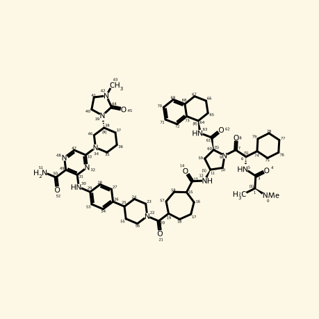 CN[C@@H](C)C(=O)N[C@H](C(=O)N1C[C@@H](NC(=O)C2CCCC(C(=O)N3CCC(c4ccc(Nc5nc(N6CCC[C@@H](N7CCN(C)C7=O)C6)cnc5C(N)=O)cc4)CC3)CC2)C[C@H]1C(=O)N[C@@H]1CCCc2ccccc21)C1CCCCC1